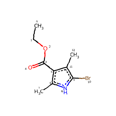 CCOC(=O)c1c(C)[nH]c(Br)c1C